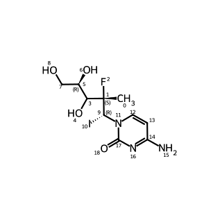 C[C@](F)(C(O)[C@H](O)CO)[C@@H](I)n1ccc(N)nc1=O